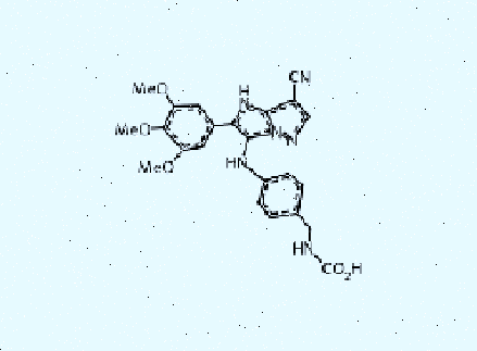 COc1cc(-c2[nH]c3c(C#N)cnn3c2Nc2ccc(CNC(=O)O)cc2)cc(OC)c1OC